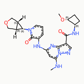 CNc1cc(Nc2cccn([C@H]3[C@@H]4COC[C@@H]43)c2=O)nc2c(C(=O)N[C@@H]3CC[C@H]3OC)cnn12